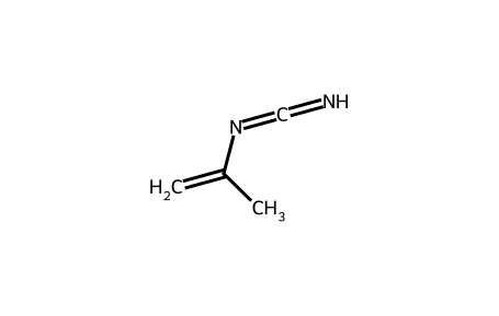 C=C(C)N=C=N